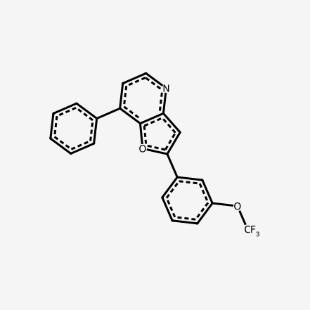 FC(F)(F)Oc1cccc(-c2cc3nccc(-c4ccccc4)c3o2)c1